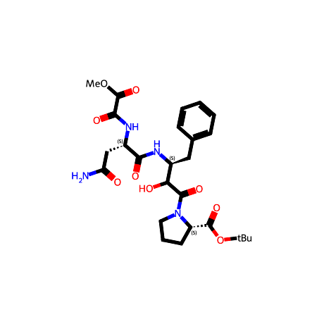 COC(=O)C(=O)N[C@@H](CC(N)=O)C(=O)N[C@@H](Cc1ccccc1)C(O)C(=O)N1CCC[C@H]1C(=O)OC(C)(C)C